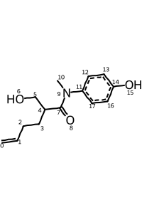 C=CCCC(CO)C(=O)N(C)c1ccc(O)cc1